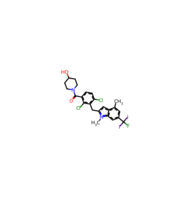 Cc1cc(C(F)(I)I)cc2c1cc(Cc1c(Cl)ccc(C(=O)N3CCC(O)CC3)c1Cl)n2C